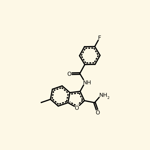 Cc1ccc2c(NC(=O)c3ccc(F)cc3)c(C(N)=O)oc2c1